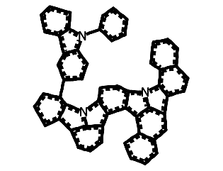 c1ccc(-n2c3ccccc3c3cc(-c4cccc5c6cccc7c8c9c%10c%11ccccc%11cc%11c%12ccc%13ccccc%13c%12n(c9ccc8n(c45)c67)c%11%10)ccc32)cc1